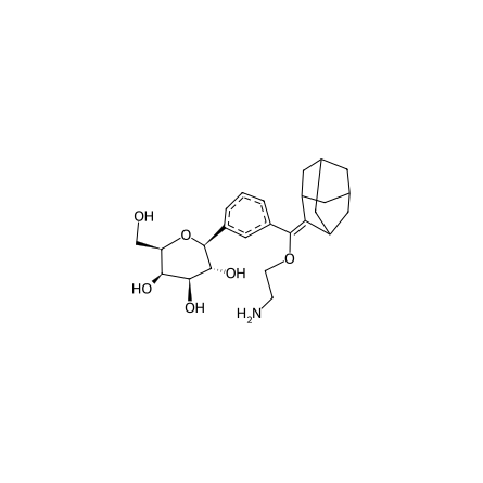 NCCOC(=C1C2CC3CC(C2)CC1C3)c1cccc([C@@H]2O[C@H](CO)[C@H](O)[C@H](O)[C@H]2O)c1